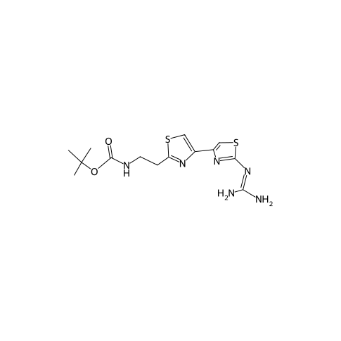 CC(C)(C)OC(=O)NCCc1nc(-c2csc(N=C(N)N)n2)cs1